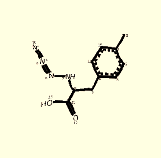 Cc1ccc(CC(NN=[N+]=[N-])C(=O)O)cc1